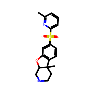 Cc1cccc(S(=O)(=O)c2ccc3c(c2)OC2CNCCC32C)n1